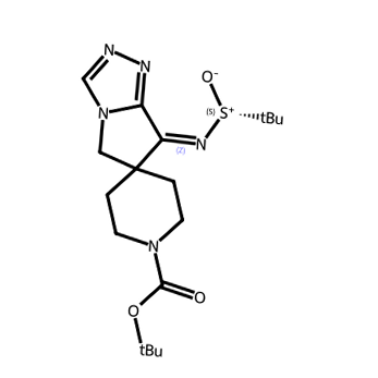 CC(C)(C)OC(=O)N1CCC2(CC1)Cn1cnnc1/C2=N\[S@+]([O-])C(C)(C)C